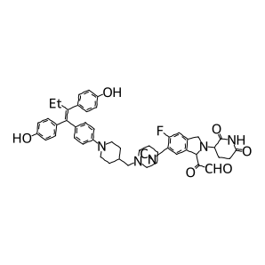 CCC(=C(c1ccc(O)cc1)c1ccc(N2CCC(CN3CC4CCC3CN4c3cc4c(cc3F)CN(C3CCC(=O)NC3=O)C4C(=O)C=O)CC2)cc1)c1ccc(O)cc1